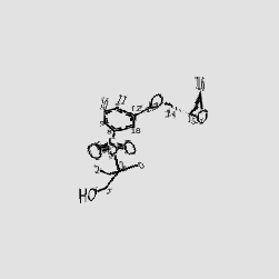 CC(C)(CO)S(=O)(=O)c1cccc(OC[C@@H]2CO2)c1